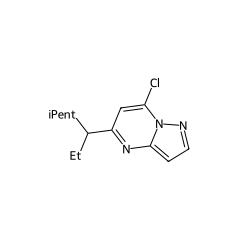 CCCC(C)C(CC)c1cc(Cl)n2nccc2n1